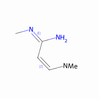 C/N=C(N)\C=C/NC